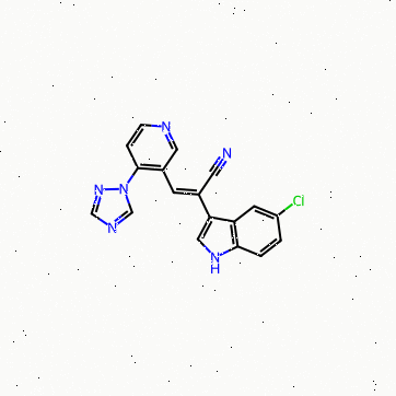 N#C/C(=C\c1cnccc1-n1cncn1)c1c[nH]c2ccc(Cl)cc12